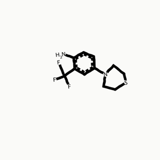 Nc1ccc(N2CCSCC2)cc1C(F)(F)F